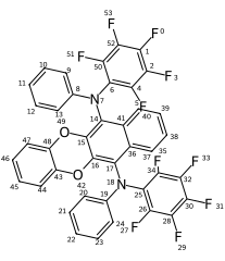 Fc1c(F)c(F)c(N(c2ccccc2)c2c3c(c(N(c4ccccc4)c4c(F)c(F)c(F)c(F)c4F)c4ccccc24)Oc2ccccc2O3)c(F)c1F